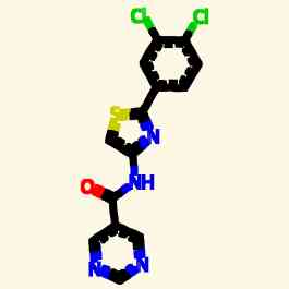 O=C(Nc1csc(-c2ccc(Cl)c(Cl)c2)n1)c1cncnc1